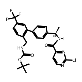 C[C@@H](NC(=O)c1ccnc(Cl)n1)c1ccc(-c2cc(C(F)(F)F)ccc2CNC(=O)OC(C)(C)C)cc1